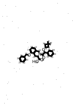 CC1(F)CC(OC(C(=O)N2Cc3cccc(OCc4ccccc4)c3CC2C(=O)O)c2ccccc2)C1